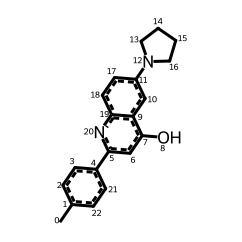 Cc1ccc(-c2cc(O)c3cc(N4CCCC4)ccc3n2)cc1